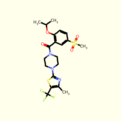 Cc1nc(N2CCN(C(=O)c3cc(S(C)(=O)=O)ccc3OC(C)C)CC2)sc1C(F)(F)F